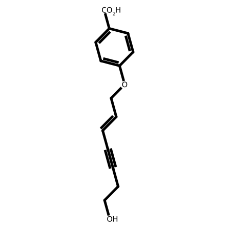 O=C(O)c1ccc(OC/C=C/C#CCCO)cc1